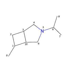 CC1CC2CN(C(C)C)CC12